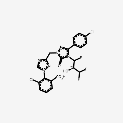 O=C(O)c1cccc(Cl)c1-n1cnc(Cn2nc(-c3ccc(Cl)cc3)n(C(F)[C@H](O)C(F)F)c2=O)n1